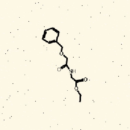 CCOC(=O)CNC(=O)COCc1ccccc1